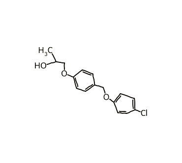 CC(O)COc1ccc(COc2ccc(Cl)cc2)cc1